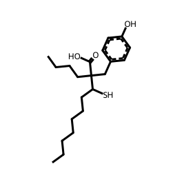 CCCCCCCC(S)C(CCCC)(Cc1ccc(O)cc1)C(=O)O